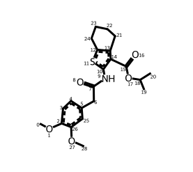 COc1ccc(CC(=O)Nc2sc3c(c2C(=O)OC(C)C)CCCC3)cc1OC